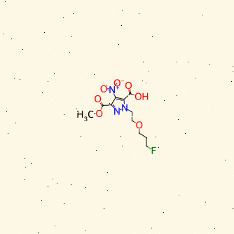 COC(=O)c1nn(CCOCCCF)c(C(=O)O)c1[N+](=O)[O-]